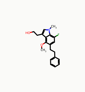 COc1c(CCc2ccccc2)cc(F)c2c1c(CCO)cn2C